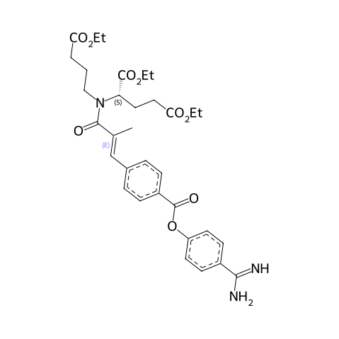 CCOC(=O)CCCN(C(=O)/C(C)=C/c1ccc(C(=O)Oc2ccc(C(=N)N)cc2)cc1)[C@@H](CCC(=O)OCC)C(=O)OCC